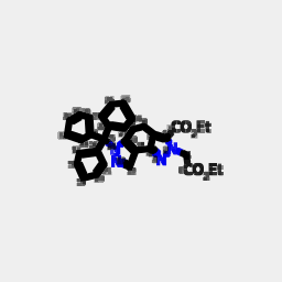 CCOC(=O)Cn1nc2c(c1C(=O)OCC)CCc1c-2cnn1C(c1ccccc1)(c1ccccc1)c1ccccc1